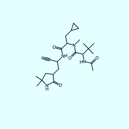 CC(=O)NC(C(=O)N(C)C(CC1CC1)C(=O)NC(C#N)CC1CC(C)(C)NC1=O)C(C)(C)C